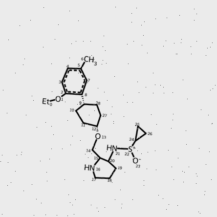 CCOc1ccc(C)cc1[C@H]1CC[C@@H](OCC2NCCCC2N[S+]([O-])C2CC2)CC1